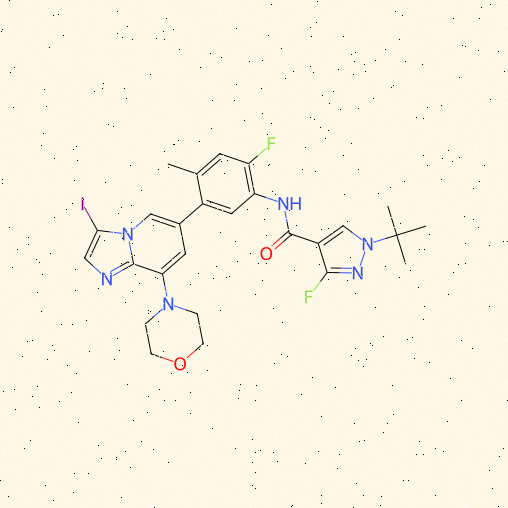 Cc1cc(F)c(NC(=O)c2cn(C(C)(C)C)nc2F)cc1-c1cc(N2CCOCC2)c2ncc(I)n2c1